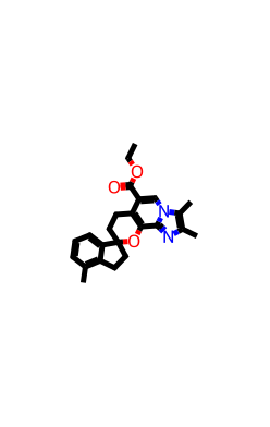 CCOC(=O)c1cn2c(C)c(C)nc2c2c1CCC1(CCc3c(C)cccc31)O2